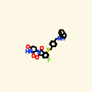 O=C1CCC(N2C(=O)c3cc(F)cc(SCc4ccc(CNC56CC7CC(CC(C7)C5)C6)cc4)c3C2=O)C(=O)N1